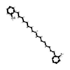 Oc1ccccc1CCCCCCCCSCCCCCCCCc1ccccc1O